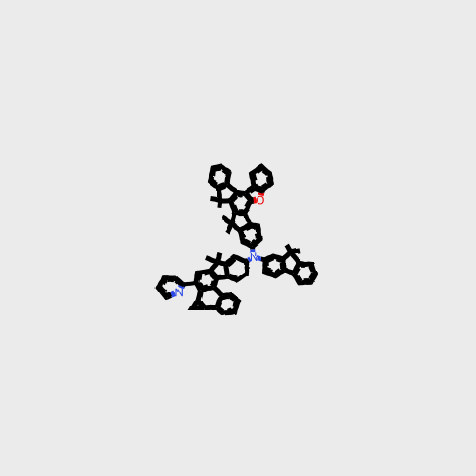 CC1(C)C2=CC(N(c3ccc4c(c3)C(C)(C)c3ccccc3-4)c3ccc4c(c3)C(C)(C)c3c5c(c6c(oc7ccccc76)c3-4)-c3ccccc3C5(C)C)CC=C2c2c1cc(-c1ccccn1)c1c2-c2ccccc2C2CC12